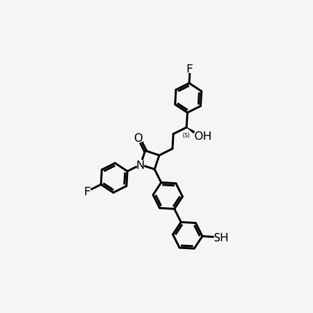 O=C1C(CC[C@H](O)c2ccc(F)cc2)C(c2ccc(-c3cccc(S)c3)cc2)N1c1ccc(F)cc1